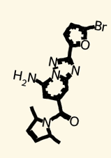 CC1C=CC(C)N1C(=O)c1cc(N)n2nc(-c3ccc(Br)o3)nc2c1